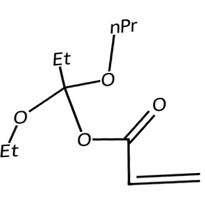 C=CC(=O)OC(CC)(OCC)OCCC